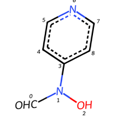 O=CN(O)c1ccncc1